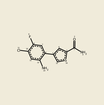 NC(=O)c1cc(-c2cc(F)c(Cl)cc2N)cs1